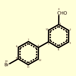 O=Cc1cccc(-c2ccc(Br)cc2)c1